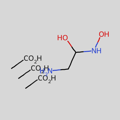 CC(=O)O.CC(=O)O.CC(=O)O.NCC(O)NO